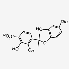 CC(C)(C)c1ccc(OC(C)(C)c2ccc(C(=O)O)c(O)c2O)c(O)c1